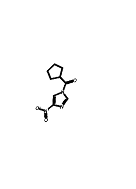 O=C(C1CCCC1)n1cnc([N+](=O)[O-])c1